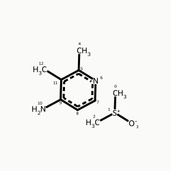 C[S+](C)[O-].Cc1nccc(N)c1C